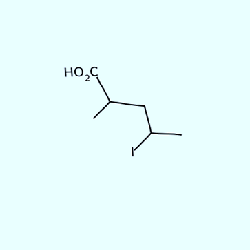 CC(I)CC(C)C(=O)O